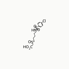 O=C(O)C[S+]([O-])CCCCCNS(=O)(=O)c1ccc(Cl)cc1